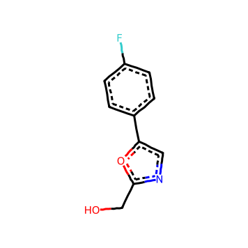 OCc1ncc(-c2ccc(F)cc2)o1